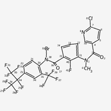 CN(C(=O)c1ccc(Cl)nc1)c1cccc(C(=O)N(Br)c2ccc(C(F)(C(F)(F)F)C(F)(F)F)cc2C(F)(F)F)c1F